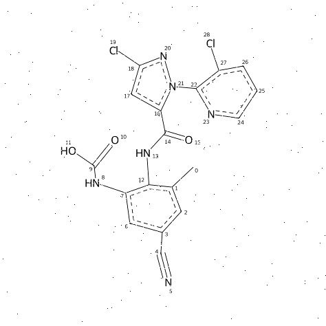 Cc1cc(C#N)cc(NC(=O)O)c1NC(=O)c1cc(Cl)nn1-c1ncccc1Cl